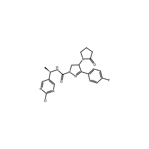 C[C@@H](NC(=O)N1CC(N2CCCC2=O)C(c2ccc(F)cc2)=N1)c1cnc(Cl)nc1